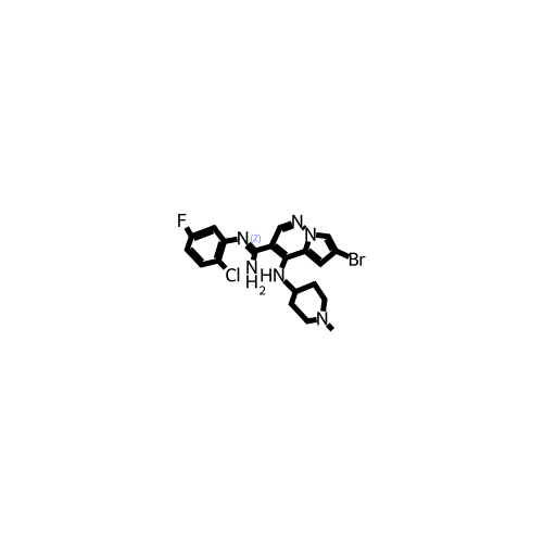 CN1CCC(Nc2c(/C(N)=N/c3cc(F)ccc3Cl)cnn3cc(Br)cc23)CC1